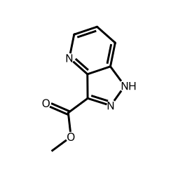 COC(=O)c1n[nH]c2cccnc12